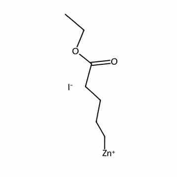 CCOC(=O)CCC[CH2][Zn+].[I-]